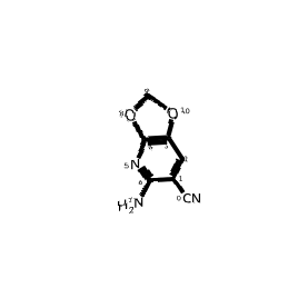 N#Cc1cc2c(nc1N)OCO2